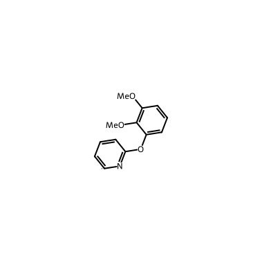 COc1cccc(Oc2ccc[c]n2)c1OC